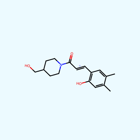 Cc1cc(O)c(/C=C/C(=O)N2CCC(CO)CC2)cc1C